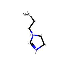 COCCN1C=NCC1